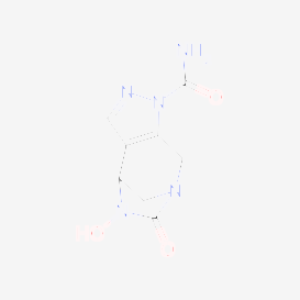 NC(=O)n1ncc2c1CN1CC2N(O)C1=O